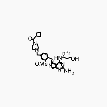 CCC[C@@H](CCO)Nc1nc(N)nc2cnn(Cc3ccc(CN4CCN(C(=O)C5CCC5)CC4)cc3OC)c12